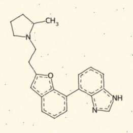 CC1CCCN1CCc1cc2cccc(-c3cccc4[nH]cnc34)c2o1